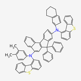 Cc1ccc(N(c2cc3c(c4ccccc24)-c2ccc(N(c4ccc5c(c4)CCCC5)c4cccc5sc6ccccc6c45)cc2C3(c2ccccc2)c2ccccc2)c2cccc3sc4ccccc4c23)cc1C